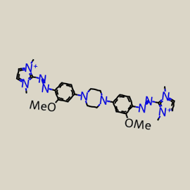 COc1cc(N2CCN(c3ccc(N=Nc4n(C)cc[n+]4C)c(OC)c3)CC2)ccc1N=Nc1n(C)cc[n+]1C